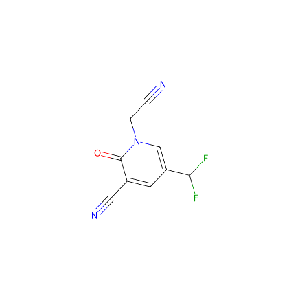 N#CCn1cc(C(F)F)cc(C#N)c1=O